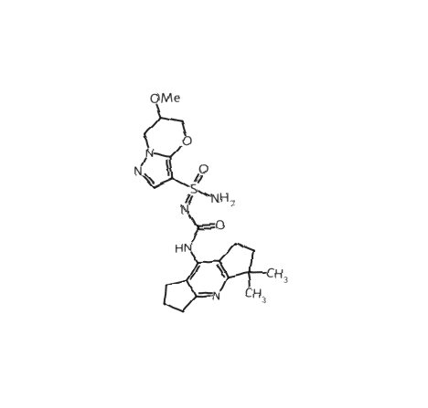 COC1COc2c(S(N)(=O)=NC(=O)Nc3c4c(nc5c3CCC5(C)C)CCC4)cnn2C1